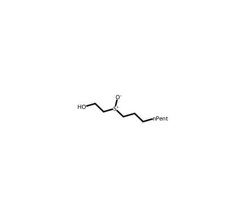 CCCCCCCC[S+]([O-])CCO